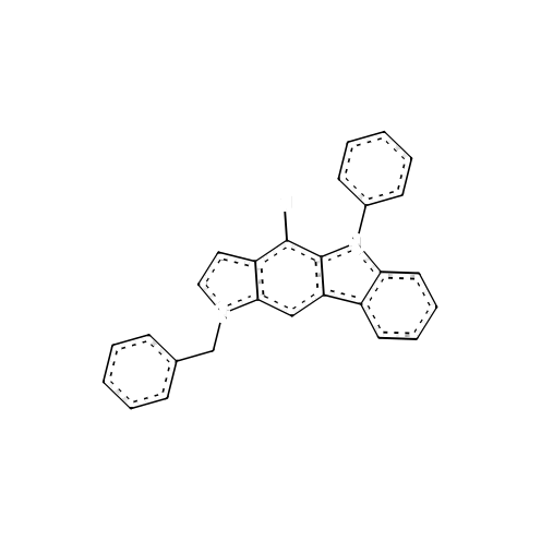 Clc1c2ccn(Cc3ccccc3)c2cc2c3ccccc3n(-c3ccccc3)c12